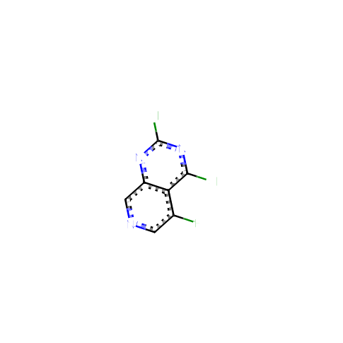 Fc1cncc2nc(Cl)nc(Cl)c12